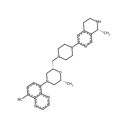 C[C@@H]1CN(c2ccc(C#N)c3nccnc23)C[C@H](CN2CCN(c3cc4c(cn3)[C@@H](C)NCC4)CC2)O1